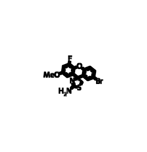 COc1cc(F)c2c(c1)[C@]1(CSC(N)=N1)c1cc(Br)ccc1O2